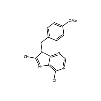 COc1ccc(Cn2c(Cl)nc3c(Cl)ncnc32)cc1